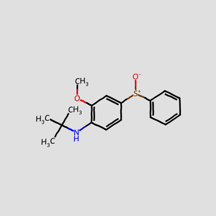 COc1cc([S+]([O-])c2ccccc2)ccc1NC(C)(C)C